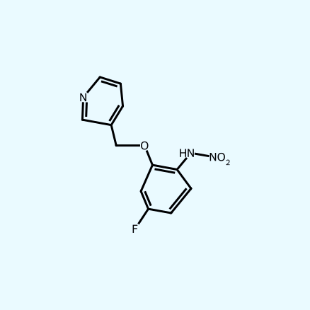 O=[N+]([O-])Nc1ccc(F)cc1OCc1cccnc1